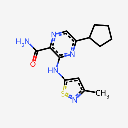 Cc1cc(Nc2nc(C3CCCC3)cnc2C(N)=O)sn1